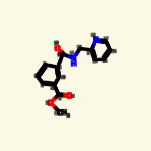 COC(=O)c1cccc(C(=O)NCc2ccccn2)c1